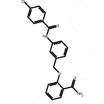 NC(=O)c1ccccc1OCc1cccc(NC(=O)c2ccc(Cl)cc2)c1